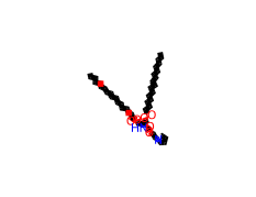 CCCCCCCCC=CCCCCCCCC(=O)OCC(COC(=O)CCCCCCCC=CCCCCCCCC)NC(=O)OCCN1CCCC1